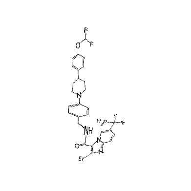 CCc1nc2ccc(C(F)(F)P)cn2c1C(=O)NCc1ccc(N2CCC(c3ccc(OC(F)F)cc3)CC2)cc1